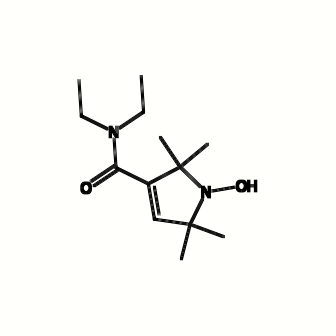 CCN(CC)C(=O)C1=CC(C)(C)N(O)C1(C)C